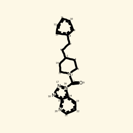 O=C(N1CCC(CCc2ccccc2)CC1)n1nnc2ncccc21